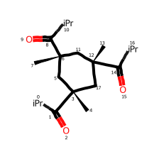 CC(C)C(=O)[C@]1(C)C[C@](C)(C(=O)C(C)C)C[C@](C)(C(=O)C(C)C)C1